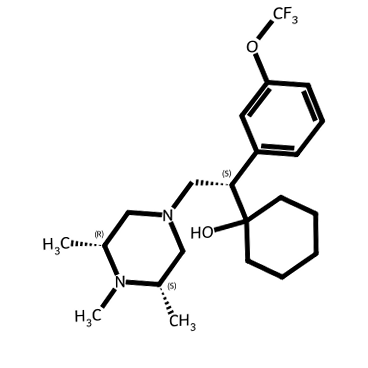 C[C@@H]1CN(C[C@H](c2cccc(OC(F)(F)F)c2)C2(O)CCCCC2)C[C@H](C)N1C